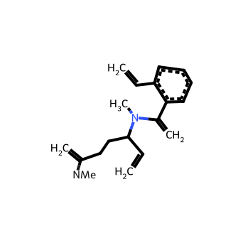 C=Cc1ccccc1C(=C)N(C)C(C=C)CCC(=C)NC